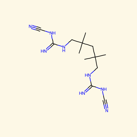 CC(C)(CNC(=N)NC#N)CC(C)(C)CNC(=N)NC#N